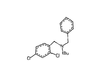 CC(C)(C)N(Cc1ccccc1)Cc1ccc(Cl)cc1Cl